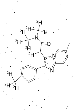 [2H]C(C(=O)N(C([2H])([2H])[2H])C([2H])([2H])[2H])c1c(-c2ccc(C([2H])([2H])[2H])cc2)nc2ccc(C)cn12